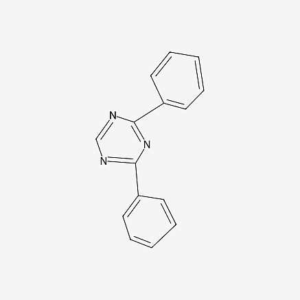 c1ccc(-c2ncnc(-c3ccccc3)n2)cc1